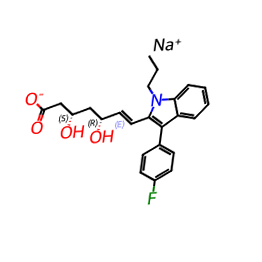 CCCn1c(/C=C/[C@H](O)C[C@H](O)CC(=O)[O-])c(-c2ccc(F)cc2)c2ccccc21.[Na+]